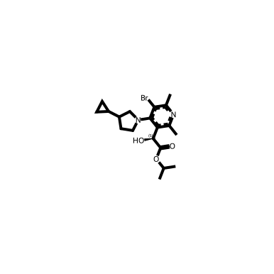 Cc1nc(C)c([C@H](O)C(=O)OC(C)C)c(N2CCC(C3CC3)C2)c1Br